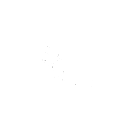 CCCN1C[C@@H](NC(=O)N(CC)CCN2CCC(F)(F)CC2)C[C@@H]2CC(=O)C(=CN(C)C)C[C@H]21